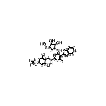 Cc1nc(NCc2c(Cl)cc(OC(F)(F)F)cc2Cl)nc(N[C@@H]2C[C@H](CO)[C@@H](O)[C@H]2O)c1-c1nc2cnccc2s1